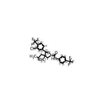 C=C(C)CC1(C)CN(C(=O)Nc2ccc(C(F)(F)F)cc2)N=C1c1ccc(C(F)(F)F)c(Cl)c1